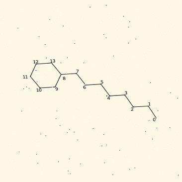 CCCC[CH]CCCC1CCCCC1